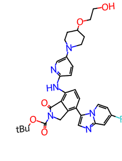 CC(C)(C)OC(=O)N1Cc2c(-c3cnc4cc(F)ccn34)ccc(Nc3ccc(N4CCC(OCCO)CC4)cn3)c2C1=O